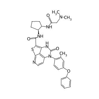 Cc1cc(Oc2ccccc2)ccc1N1C(=O)Nc2c(C(=O)N[C@H]3CCCC3NC(=O)CN(C)C)sc3nccc1c23